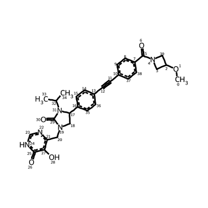 COC1CN(C(=O)c2ccc(C#Cc3ccc(C4CN(Cc5nc[nH]c(=O)c5O)C(=O)N4C(C)C)cc3)cc2)C1